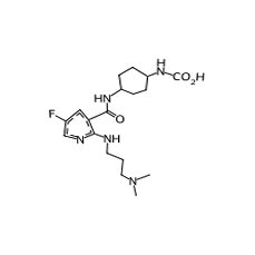 CN(C)CCCNc1ncc(F)cc1C(=O)NC1CCC(NC(=O)O)CC1